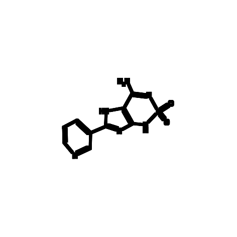 NC1=NS(=O)(=O)Nc2nc(-c3cccnc3)[nH]c21